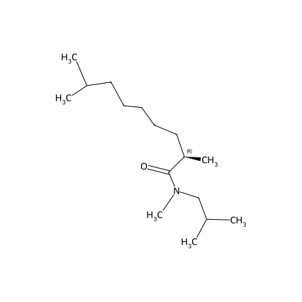 CC(C)CCCCC[C@@H](C)C(=O)N(C)CC(C)C